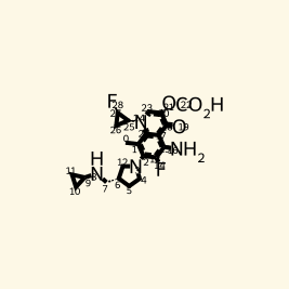 Cc1c(N2CC[C@H](CNC3CC3)C2)c(F)c(N)c2c(=O)c(OC(=O)O)cn([C@@H]3C[C@@H]3F)c12